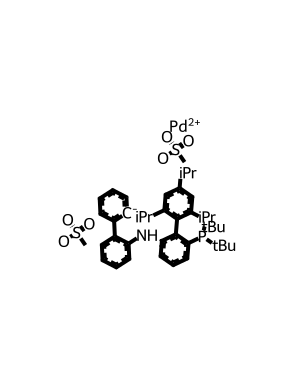 CC(C)c1cc(C(C)C)c(-c2ccccc2P(C(C)(C)C)C(C)(C)C)c(C(C)C)c1.CS(=O)(=O)[O-].CS(=O)(=O)[O-].Nc1ccccc1-c1[c-]cccc1.[Pd+2]